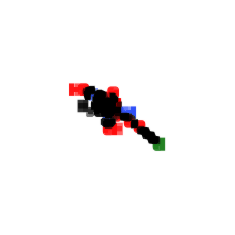 C[Si]1(C)c2cc(N3CC(O)C3)ccc2C2(OC(=O)c3ccc(C(=O)NCCOCCOCCCCCCCl)cc32)c2ccc(N3CC(O)C3)cc21